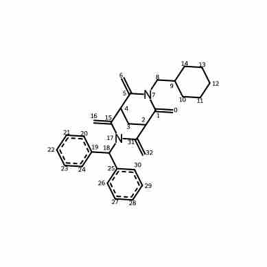 C=C1C2CC(C(=C)N1CC1CCCCC1)C(=C)N(C(c1ccccc1)c1ccccc1)C2=C